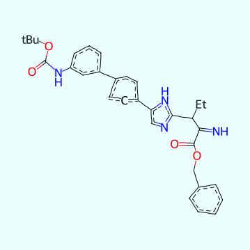 CCC(C(=N)C(=O)OCc1ccccc1)c1ncc(-c2ccc(-c3cccc(NC(=O)OC(C)(C)C)c3)cc2)[nH]1